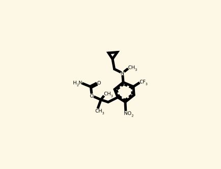 CN(CC1CC1)c1cc(CC(C)(C)OC(N)=O)c([N+](=O)[O-])cc1C(F)(F)F